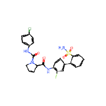 NS(=O)(=O)c1ccccc1-c1ccc(NC(=O)C2C=CCN2C(=O)Nc2ccc(Cl)cc2)c(F)c1